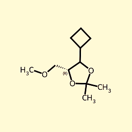 COC[C@H]1OC(C)(C)OC1C1CCC1